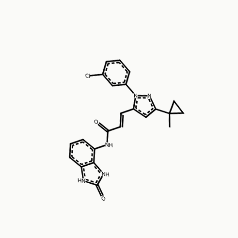 CC1(c2cc(/C=C/C(=O)Nc3cccc4[nH]c(=O)[nH]c34)n(-c3cccc(Cl)c3)n2)CC1